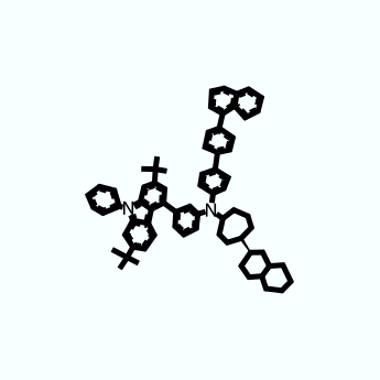 CC(C)(C)c1ccc2c3c(-c4cccc(N(c5ccc(-c6ccc(-c7cccc8ccccc78)cc6)cc5)C5CCCC([C@@H]6CCC7CCCCC7C6)CC5)c4)cc(C(C)(C)C)cc3n(-c3ccccc3)c2c1